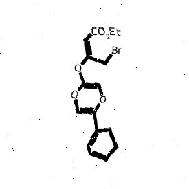 CCOC(=O)C=C(CBr)OC1=COC(C2=CC=CCC2)=CO1